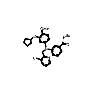 COc1ccc(N(Cc2ncccc2Cl)c2cccc(C(=O)OC(C)(C)C)c2)cc1OC1CCCC1